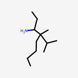 CCCCC(C)(C(C)C)C(N)CC